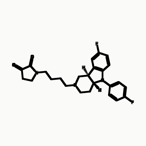 O=C1CCN(CCCCN2CC[C@@H]3[C@@H](C2)c2cc(F)ccc2N3c2ccc(F)cc2)C1=O